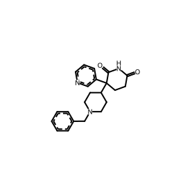 O=C1CCC(c2cccnc2)(C2CCN(Cc3ccccc3)CC2)C(=O)N1